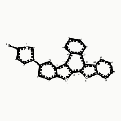 Ic1ccc(-c2ccc3oc4c5oc6ccccc6c5c5ccccc5c4c3c2)cc1